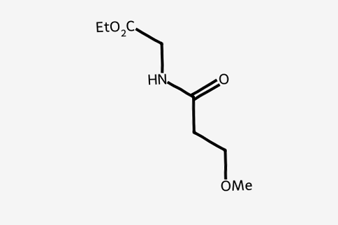 CCOC(=O)CNC(=O)CCOC